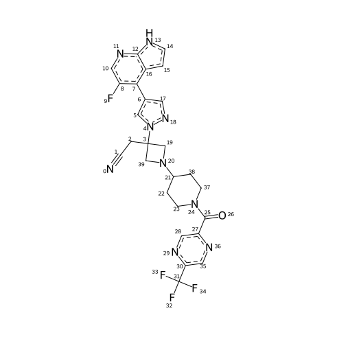 N#CCC1(n2cc(-c3c(F)cnc4[nH]ccc34)cn2)CN(C2CCN(C(=O)c3cnc(C(F)(F)F)cn3)CC2)C1